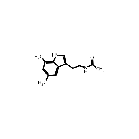 CC(=O)NCCc1c[nH]c2c(C)cc(C)cc12